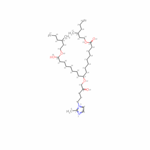 Cc1nccn1CCCC(=O)COC(CCCCCCCC(=O)OCCC(C)CCC(C)C)CCCCCCCC(O)OCCC(C)CCC(C)C